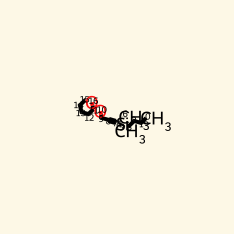 CCCC[Si](C)(C)C#CCOC1CCCCO1